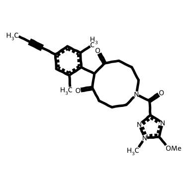 CC#Cc1cc(C)c(C2C(=O)CCCN(C(=O)c3nc(OC)n(C)n3)CCCC2=O)c(C)c1